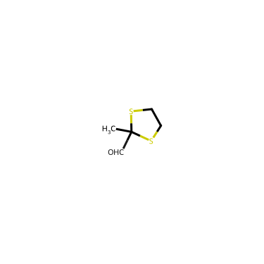 CC1(C=O)SCCS1